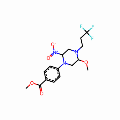 COC(=O)c1ccc(N2CC(OC)N(CCC(F)(F)F)CC2[N+](=O)[O-])cc1